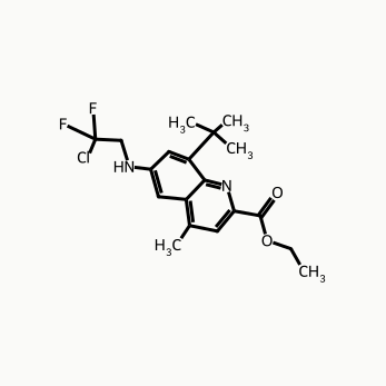 CCOC(=O)c1cc(C)c2cc(NCC(F)(F)Cl)cc(C(C)(C)C)c2n1